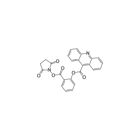 O=C(ON1C(=O)CCC1=O)c1ccccc1OC(=O)c1c2ccccc2nc2ccccc12